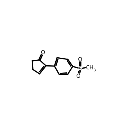 CS(=O)(=O)c1ccc(C2=CCCC2=O)cc1